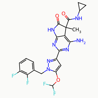 CC1(C(=O)NC2CC2)C(=O)Nc2nc(-c3cc(OC(F)F)n(Cc4cccc(F)c4F)n3)nc(N)c21